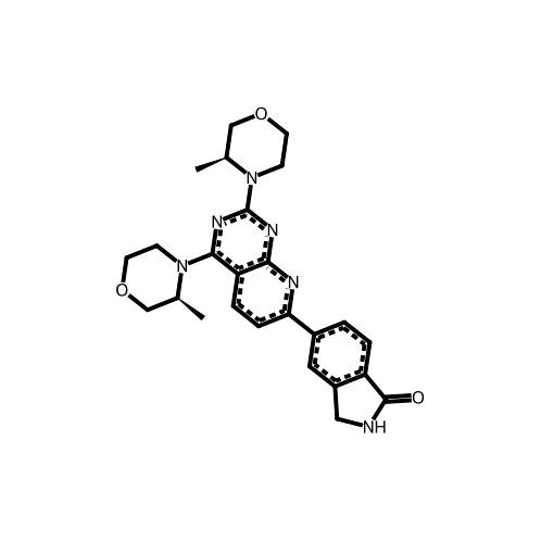 C[C@H]1COCCN1c1nc(N2CCOC[C@@H]2C)c2ccc(-c3ccc4c(c3)CNC4=O)nc2n1